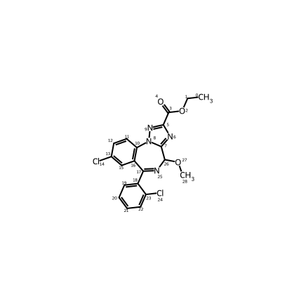 CCOC(=O)c1nc2n(n1)-c1ccc(Cl)cc1C(c1ccccc1Cl)=NC2OC